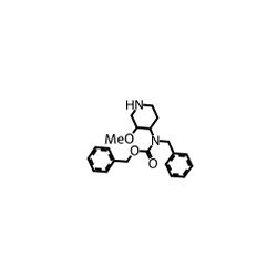 COC1CNCCC1N(Cc1ccccc1)C(=O)OCc1ccccc1